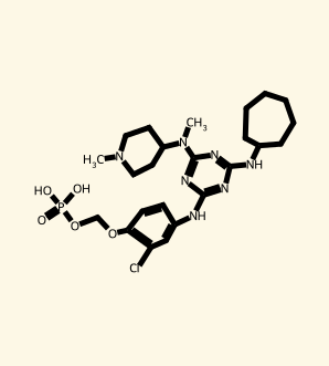 CN1CCC(N(C)c2nc(Nc3ccc(OCOP(=O)(O)O)c(Cl)c3)nc(NC3CCCCCC3)n2)CC1